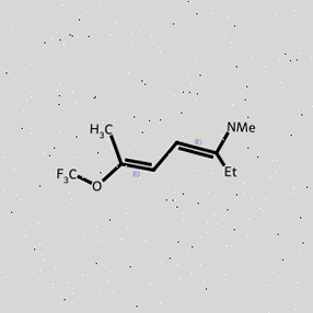 CC/C(=C\C=C(/C)OC(F)(F)F)NC